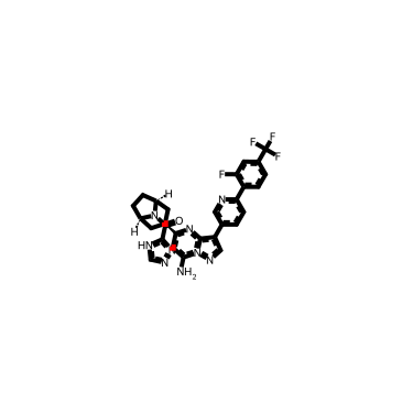 Nc1cc([C@H]2C[C@H]3CC[C@@H](C2)N3C(=O)c2nnc[nH]2)nc2c(-c3ccc(-c4ccc(C(F)(F)F)cc4F)nc3)cnn12